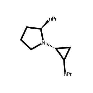 CCCC1C[C@H]1N1CCC[C@H]1CCC